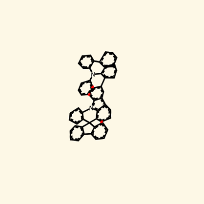 c1ccc(-c2ccccc2N(c2ccccc2)c2ccccc2-c2ccc3c(c2)c2cccc4c2n3-c2ccccc2C42c3ccccc3-c3ccccc32)cc1